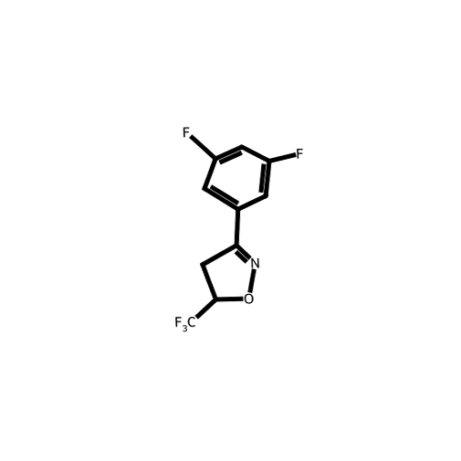 Fc1cc(F)cc(C2=NOC(C(F)(F)F)C2)c1